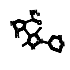 Cc1nn(-c2ccnnc2)c(C)c1-c1[nH]ncc1C(N)=O